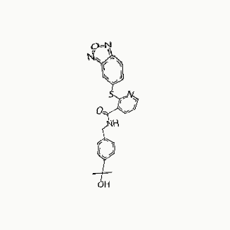 CC(C)(O)c1ccc(CNC(=O)c2cccnc2Sc2ccc3nonc3c2)cc1